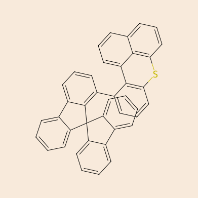 c1ccc2c(c1)-c1ccccc1C21c2ccccc2-c2cccc(-c3cccc4c3-c3cccc5cccc(c35)S4)c21